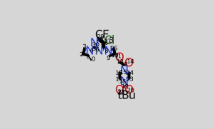 C[C@H]1CCN1c1nc(N2CC(OCC(=O)N3CCN(C(=O)OC(C)(C)C)CC3)C2)c(Cl)c(C(F)(F)F)n1